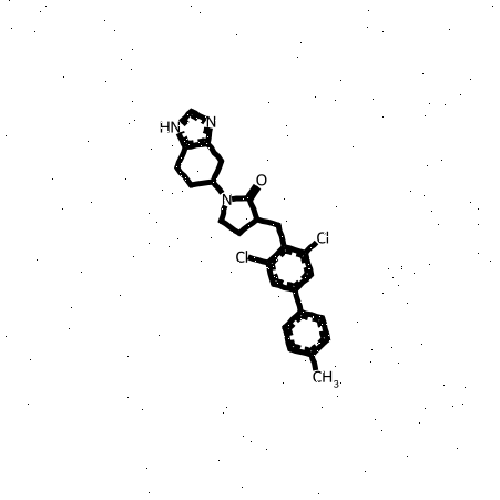 Cc1ccc(-c2cc(Cl)c(CC3CCN(C4CCc5[nH]cnc5C4)C3=O)c(Cl)c2)cc1